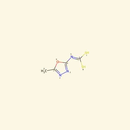 Cc1nnc(N=C(S)S)o1